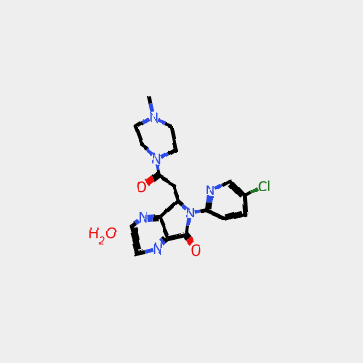 CN1CCN(C(=O)CC2c3nccnc3C(=O)N2c2ccc(Cl)cn2)CC1.O